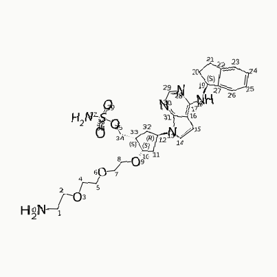 NCCOCCOCCO[C@H]1C[C@H](n2ccc3c(N[C@H]4CCc5ccccc54)ncnc32)C[C@H]1COS(N)(=O)=O